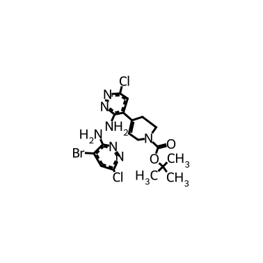 CC(C)(C)OC(=O)N1CC=C(c2cc(Cl)nnc2N)CC1.Nc1nnc(Cl)cc1Br